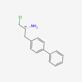 N[C@@H](CCl)Cc1ccc(-c2ccccc2)cc1